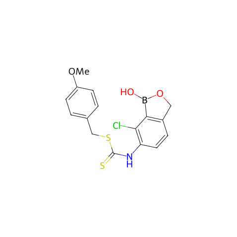 COc1ccc(CSC(=S)Nc2ccc3c(c2Cl)B(O)OC3)cc1